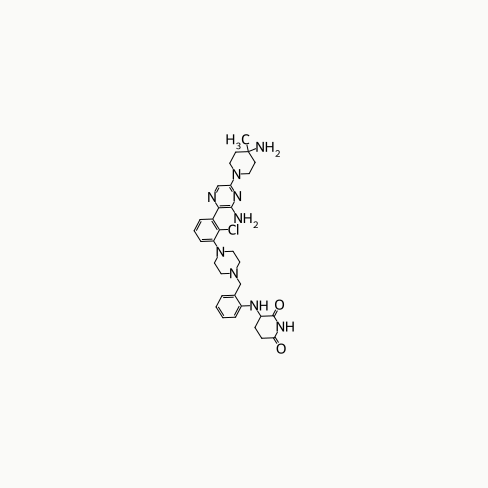 CC1(N)CCN(c2cnc(-c3cccc(N4CCN(Cc5ccccc5NC5CCC(=O)NC5=O)CC4)c3Cl)c(N)n2)CC1